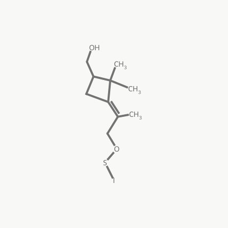 C/C(COSI)=C1/CC(CO)C1(C)C